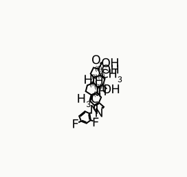 C[C@@]12Cc3cnn(-c4ccc(F)cc4F)c3C=C1CC[C@H]1[C@H]2[C@H](O)C[C@]2(C)[C@@H]1CC[C@@]2(O)C(=O)O